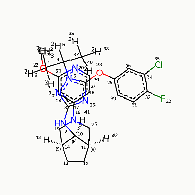 [2H]C([2H])([2H])C([2H])(n1nc(N[C@H]2[C@@H]3CC[C@H]2CN(c2ccnc(OC)c2)C3)nc1Oc1ccc(F)c(Cl)c1)C([2H])([2H])[2H]